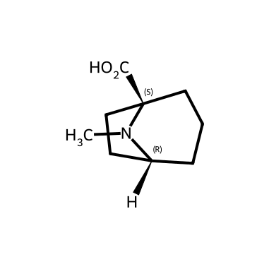 CN1[C@@H]2CCC[C@@]1(C(=O)O)CC2